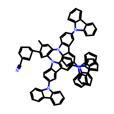 Cc1cc(-n2c3ccc(-n4c5ccccc5c5ccccc54)cc3c3cc(-n4c5ccccc5c5ccccc54)ccc32)c(-n2c3ccc(-n4c5ccccc5c5ccccc54)cc3c3cc(-n4c5ccccc5c5ccccc54)ccc32)cc1-c1cccc(C#N)c1